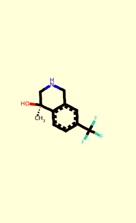 C[C@]1(O)CNCc2cc(C(F)(F)F)ccc21